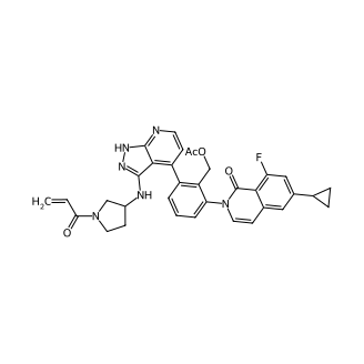 C=CC(=O)N1CCC(Nc2n[nH]c3nccc(-c4cccc(-n5ccc6cc(C7CC7)cc(F)c6c5=O)c4COC(C)=O)c23)C1